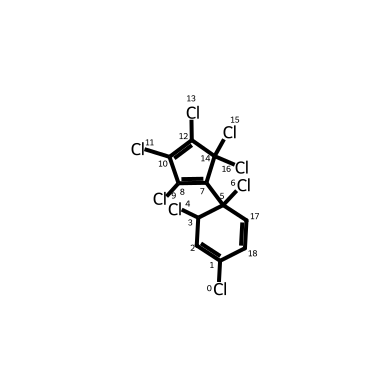 ClC1=CC(Cl)C(Cl)(C2=C(Cl)C(Cl)=C(Cl)C2(Cl)Cl)C=C1